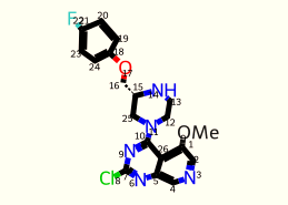 COc1cncc2nc(Cl)nc(N3CCN[C@@H](COc4ccc(F)cc4)C3)c12